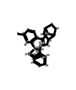 Cc1ccc(C(=O)N2C3CCC2C(COc2ccccn2)C3)c(-n2nccn2)n1